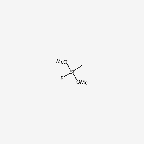 CO[Si](C)(F)OC